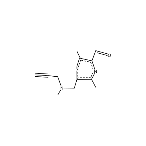 C#CCN(C)Cc1nc(C)c(C=O)nc1C